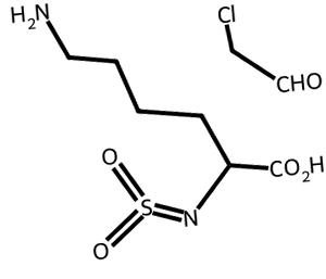 NCCCCC(N=S(=O)=O)C(=O)O.O=CCCl